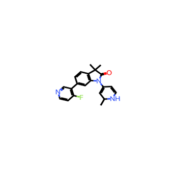 CC1C=C(N2C(=O)C(C)(C)c3ccc(-c4cnccc4F)cc32)C=CN1